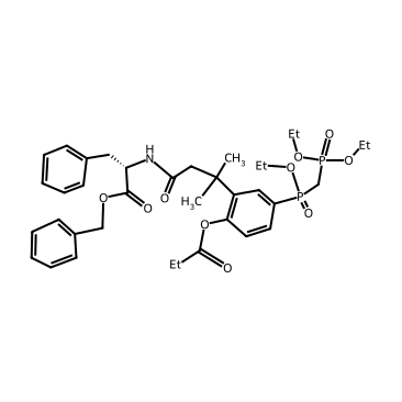 CCOP(=O)(CP(=O)(OCC)c1ccc(OC(=O)CC)c(C(C)(C)CC(=O)N[C@@H](Cc2ccccc2)C(=O)OCc2ccccc2)c1)OCC